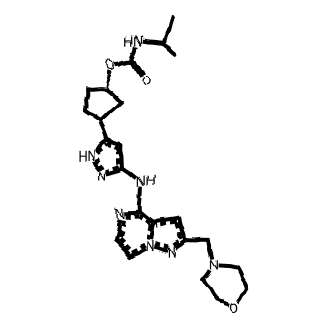 CC(C)NC(=O)O[C@@H]1CCC(c2cc(Nc3nccn4nc(CN5CCOCC5)cc34)n[nH]2)C1